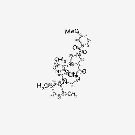 COc1cccc(S(=O)(=O)N2CC(C(=O)N3CCN(c4cc(C)ccc4C)CC3)[C@H](c3c(C)noc3C)C2)c1